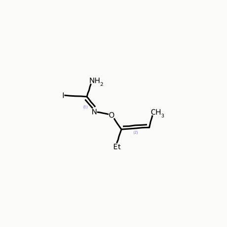 C/C=C(/CC)O/N=C(\N)I